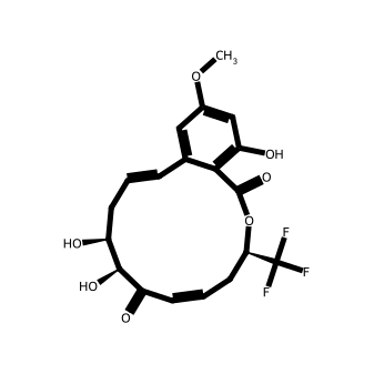 COc1cc(O)c2c(c1)/C=C/C[C@H](O)[C@H](O)C(=O)/C=C\C[C@H](C(F)(F)F)OC2=O